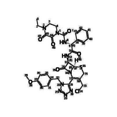 CCN1CCN(C(=O)N[C@@H](C(=O)N[C@@H]2C(=O)N3C(c4nnnn4Cc4ccc(OC)cc4)=C(CCl)CS[C@H]23)c2ccccc2)C(=O)C1=O